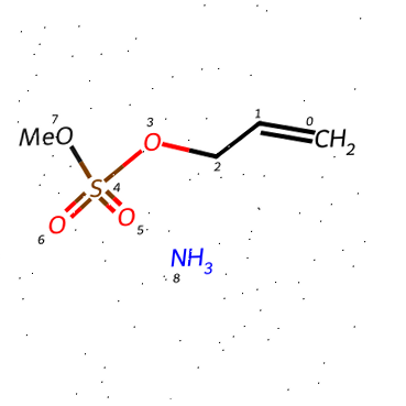 C=CCOS(=O)(=O)OC.N